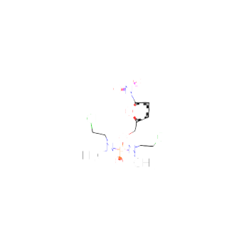 CN(CCCl)P(=O)(OCc1ccc([N+](=O)[O-])o1)N(C)CCCl